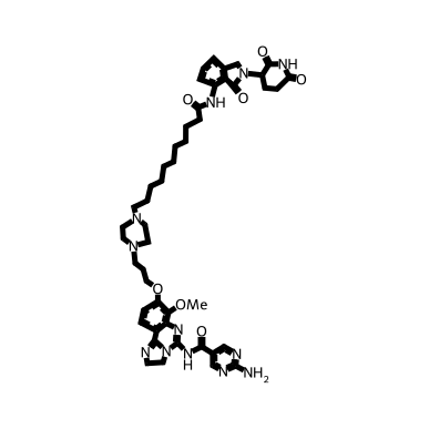 COc1c(OCCCN2CCN(CCCCCCCCCCC(=O)Nc3cccc4c3C(=O)N(C3CCC(=O)NC3=O)C4)CC2)ccc2c1N=C(NC(=O)c1cnc(N)nc1)N1CCN=C21